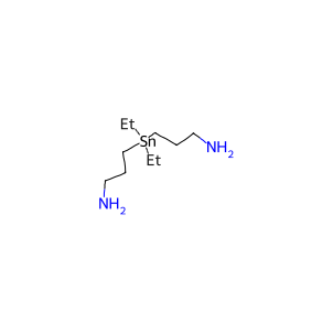 C[CH2][Sn]([CH2]C)([CH2]CCN)[CH2]CCN